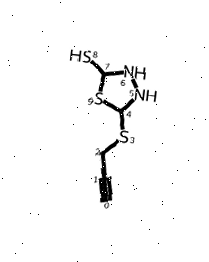 C#CCSC1NNC(S)S1